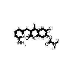 Cc1c(Cc2cccc(N)n2)c(=O)oc2cc(OC(=O)N(C)C)c(Cl)cc12